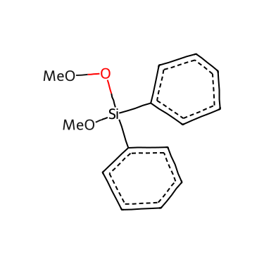 COO[Si](OC)(c1ccccc1)c1ccccc1